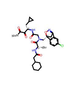 CNC(=O)C(=O)[C@H](CC1CC1)NC(=O)CN(C[C@@]12CC(=NO1)c1cc(Cl)ccc12)C(=O)[C@@H](NC(=O)CC1CCCCC1)C(C)(C)C